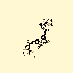 CN(C)C(=O)C1CN(C(=O)/C=C/c2ccc(Sc3ccc(/C=C/C(=O)N4CCNC(C(=O)N(C)C)C4)cc3[N+](=O)[O-])c([N+](=O)[O-])c2)CCN1